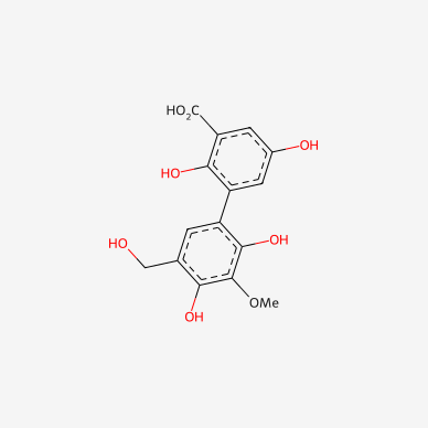 COc1c(O)c(CO)cc(-c2cc(O)cc(C(=O)O)c2O)c1O